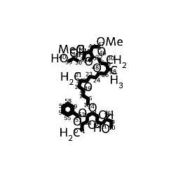 C=CCC1O[C@@H]2C(O[C@@H]3CCOC23)C(OCCCC2CC(=C)C(CCC3CC(C)C(=C)C(C[C@@H]4O[C@H](CC(O)CO)[C@H](OC)C4CC(=O)OC)O3)O2)C1OC(=O)c1ccccc1